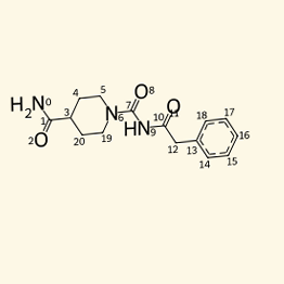 NC(=O)C1CCN(C(=O)NC(=O)Cc2ccccc2)CC1